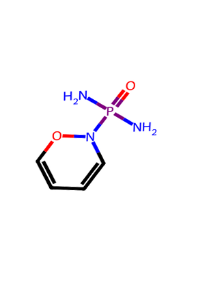 NP(N)(=O)N1C=CC=CO1